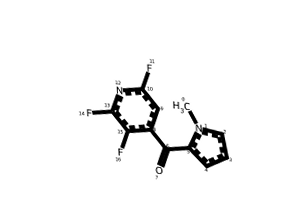 Cn1cccc1C(=O)c1cc(F)nc(F)c1F